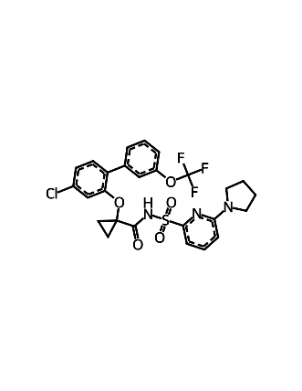 O=C(NS(=O)(=O)c1cccc(N2CCCC2)n1)C1(Oc2cc(Cl)ccc2-c2cccc(OC(F)(F)F)c2)CC1